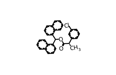 C[C@@H](C(=O)OC(c1cccc2ccccc12)c1cccc2ccccc12)c1cccc(Cl)c1